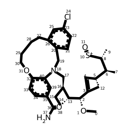 CO[C@@H](C1=C[C@H]([C@H](C)[C@@H](C)[S+]=O)C1)[C@@H]1CC[C@H]1CN1Cc2ccc(Cl)cc2CCCCOc2ccc(C(N)=O)cc21